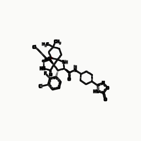 CC1(C)CCC2(CC1)N[C@@H](C(=O)NC1CCC(c3noc(=O)[nH]3)CC1)[C@H](c1cccc(Cl)c1F)[C@]21C(=O)Nc2cc(Cl)ccc21